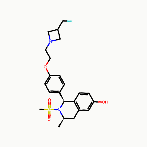 C[C@@H]1Cc2cc(O)ccc2[C@H](c2ccc(OCCN3CC(CF)C3)cc2)N1S(C)(=O)=O